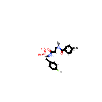 CCN(CCC(=O)N[C@@H](Cc1ccc(F)cc1)B(O)O)C(=O)c1ccc(C#N)cc1